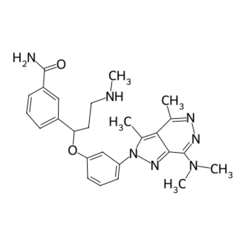 CNCCC(Oc1cccc(-n2nc3c(N(C)C)nnc(C)c3c2C)c1)c1cccc(C(N)=O)c1